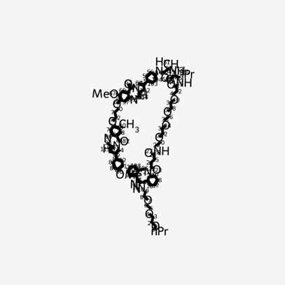 CCCOCCOCCOCCn1nnc2c1-c1ccccc1N(C(=O)CCC(=O)NCCOCCOCCOCCOCCC(=O)N[C@H](C(=O)N[C@@H](C)C(=O)Nc1ccc(C3=CN4C(=O)c5cc(OC)c(OCCCOc6cc7c(cc6C)C(=O)N6C=C(c8ccc(OC)cc8)C[C@H]6C=N7)cc5N=C[C@@H]4C3)cc1)C(C)C)Cc1ccccc1-2